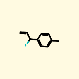 C=CC(F)c1ccc(C)cc1